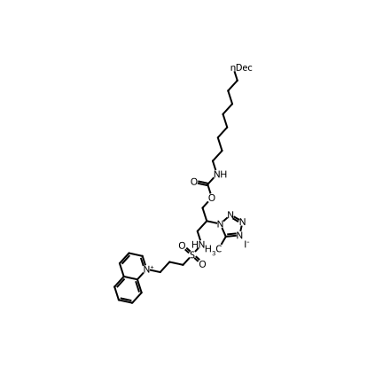 CCCCCCCCCCCCCCCCCCNC(=O)OCC(CNS(=O)(=O)CCC[n+]1cccc2ccccc21)n1nnnc1C.[I-]